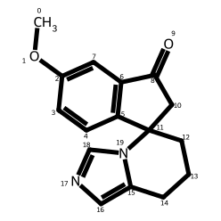 COc1ccc2c(c1)C(=O)CC21CCCc2cncn21